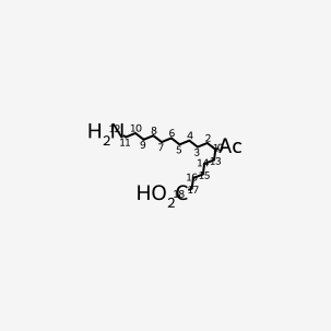 CC(=O)C(CCCCCCCCCCN)CCCCCC(=O)O